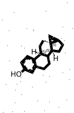 Oc1ccc2c(c1)CCC1[C@@H]2CC[C@]23C=C2CC[C@@H]13